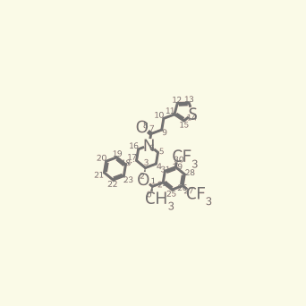 C[C@@H](O[C@H]1CCN(C(=O)CCc2ccsc2)C[C@H]1c1ccccc1)c1cc(C(F)(F)F)cc(C(F)(F)F)c1